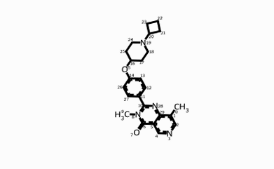 Cc1cncc2c(=O)n(C)c(-c3ccc(OC4CCN(C5CCC5)CC4)cc3)nc12